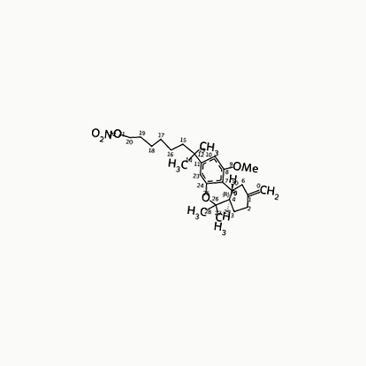 C=C1CC[C@@H]2[C@@H](C1)c1c(OC)cc(C(C)(C)CCCCCCO[N+](=O)[O-])cc1OC2(C)C